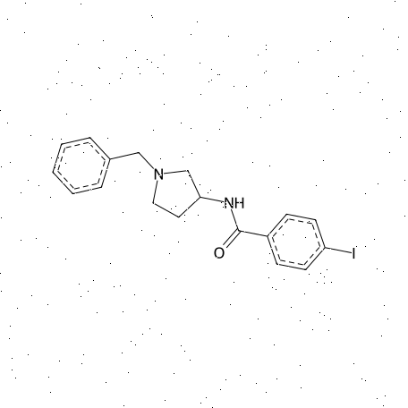 O=C(NC1CCN(Cc2ccccc2)C1)c1ccc(I)cc1